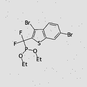 CCOP(OCC)C(F)(F)c1sc2cc(Br)ccc2c1Br